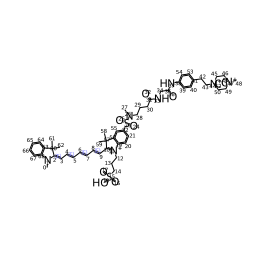 CN1/C(=C/C=C/C=C/C=C/C2=[N+](CCCS(=O)(=O)O)c3ccc(S(=O)(=O)N(C)CCCC(=O)NCC(=O)Nc4ccc(CC[N+]56CC[N+](C)(CC5)CC6)cc4)cc3C2(C)C)C(C)(C)c2ccccc21